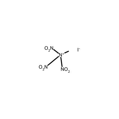 C[N+]([N+](=O)[O-])([N+](=O)[O-])[N+](=O)[O-].[I-]